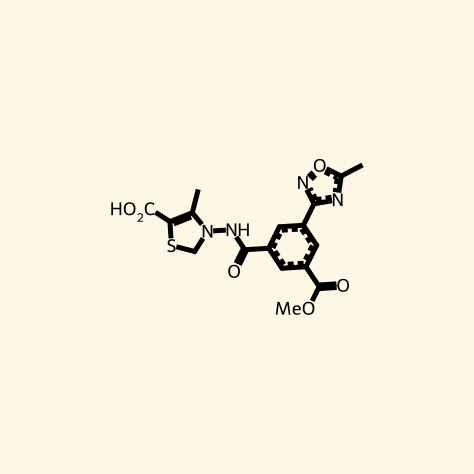 COC(=O)c1cc(C(=O)NN2CSC(C(=O)O)=C2C)cc(-c2noc(C)n2)c1